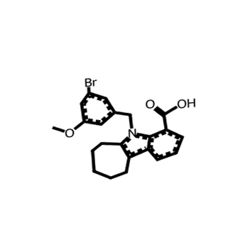 COc1cc(Br)cc(Cn2c3c(c4cccc(C(=O)O)c42)CCCCC3)c1